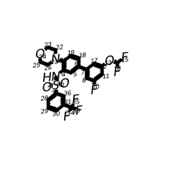 O=S(=O)(Nc1cc(-c2cc(F)cc(OC(F)F)c2)ccc1N1CCOCC1)c1cccc(C(F)(F)F)c1